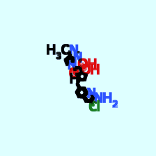 Cc1ncnc2c1ccn2[C@@H]1O[C@@H]2[C@H](Cc3ccc4cc(Cl)c(N)nc4c3)CC[C@]2(O)[C@H]1O